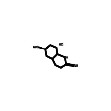 CC(=O)O[C@H]1CCC2NC(=N)CCC2C1.Cl